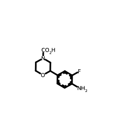 Nc1ccc(C2CN(C(=O)O)CCO2)cc1F